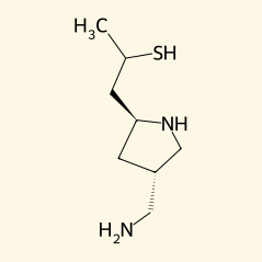 CC(S)C[C@@H]1C[C@@H](CN)CN1